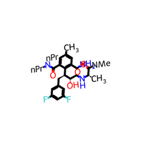 CCCN(CCC)C(=O)c1cc(C)cc(C(N)=O)c1[C@H](Cc1cc(F)cc(F)c1)[C@@H](O)CN[C@@H](C)C(=O)NC